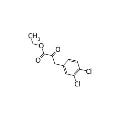 CCOC(=O)C(=O)Cc1ccc(Cl)c(Cl)c1